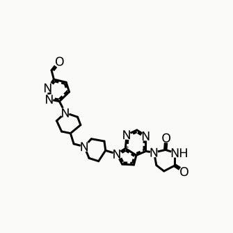 O=Cc1ccc(N2CCC(CN3CCC(n4ccc5c(N6CCC(=O)NC6=O)ncnc54)CC3)CC2)nn1